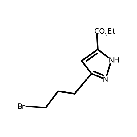 CCOC(=O)c1cc(CCCBr)n[nH]1